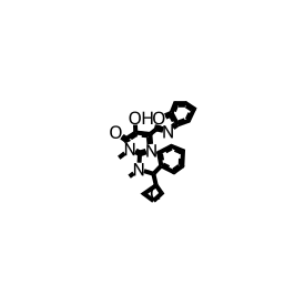 CN(c1nc(-c2nc3ccccc3o2)c(O)c(=O)n1C)C(c1ccccc1)C12CC(C1)C2